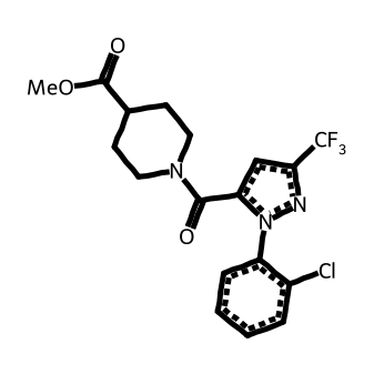 COC(=O)C1CCN(C(=O)c2cc(C(F)(F)F)nn2-c2ccccc2Cl)CC1